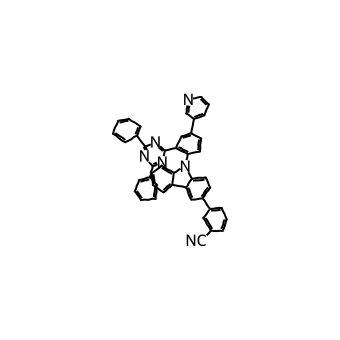 N#Cc1cccc(-c2ccc3c(c2)c2ccccc2n3-c2ccc(-c3cccnc3)cc2-c2nc(-c3ccccc3)nc(-c3ccccc3)n2)c1